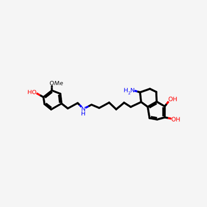 COc1cc(CCNCCCCCCC2c3ccc(O)c(O)c3CCC2N)ccc1O